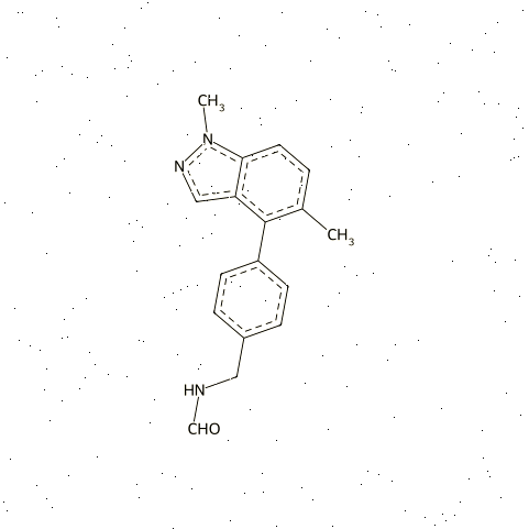 Cc1ccc2c(cnn2C)c1-c1ccc(CNC=O)cc1